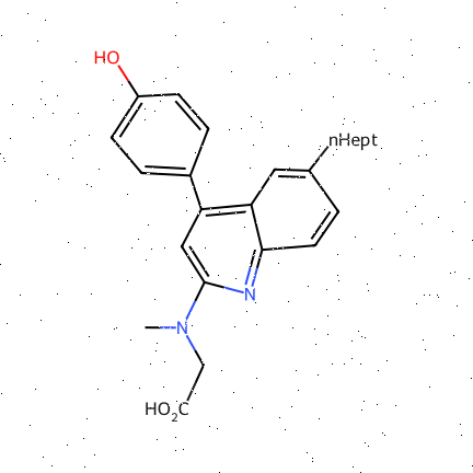 CCCCCCCc1ccc2nc(N(C)CC(=O)O)cc(-c3ccc(O)cc3)c2c1